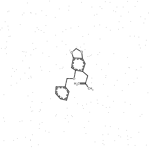 C=C(C)Cc1cc2c(cc1OCc1ccccc1)OCO2